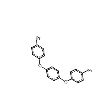 CC(C)c1ccc(Oc2ccc(Oc3ccc(C(C)C)cc3)cc2)cc1